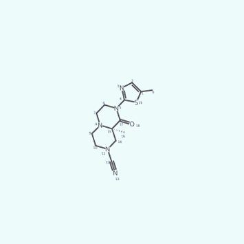 Cc1cnc(N2CCN3CCN(C#N)C[C@]3(C)C2=O)s1